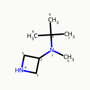 CN(C1CNC1)C(C)(C)C